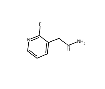 NNCc1cccnc1F